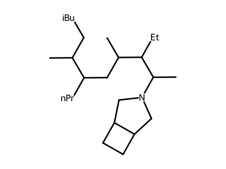 CCCC(CC(C)C(CC)C(C)N1CC2CCC2C1)C(C)CC(C)CC